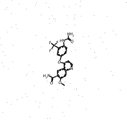 COc1cc2nccc(Oc3ccc(NC(N)=O)c(C(F)(F)F)c3)c2cc1C(N)=O